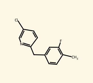 Cc1ccc(Cc2ccc(Cl)cn2)cc1F